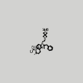 COC(=O)N1c2ccc3c(nc(Cc4ccccc4)n3CCN3CC4(C3)CS(=O)(=O)C4)c2CC[C@@H]1C